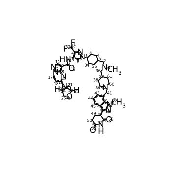 CN(CC1CCC(n2cc(NC(=O)c3cnn4ccc(N5C[C@H]6C[C@@H]5CO6)nc34)c(C(F)F)n2)CC1)CC1CCN(Cc2cccc3c(C4CCC(=O)NC4=O)nn(C)c23)CC1